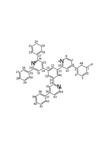 CC1C=CC=C(c2ccnc(-c3cc(-c4cc(C5=CCCC=C5)nc(-c5ccccc5)c4)cc(-c4cc(-c5ccccc5)ccn4)c3)c2)C1